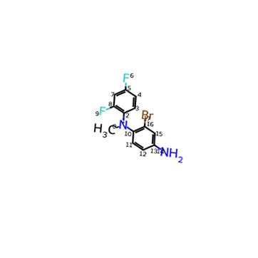 CN(c1ccc(F)cc1F)c1ccc(N)cc1Br